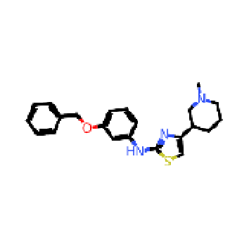 CN1CCCC(c2csc(Nc3cccc(OCc4ccccc4)c3)n2)C1